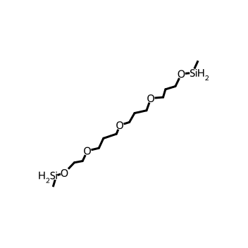 C[SiH2]OCCCOCCCOCCCOCCO[SiH2]C